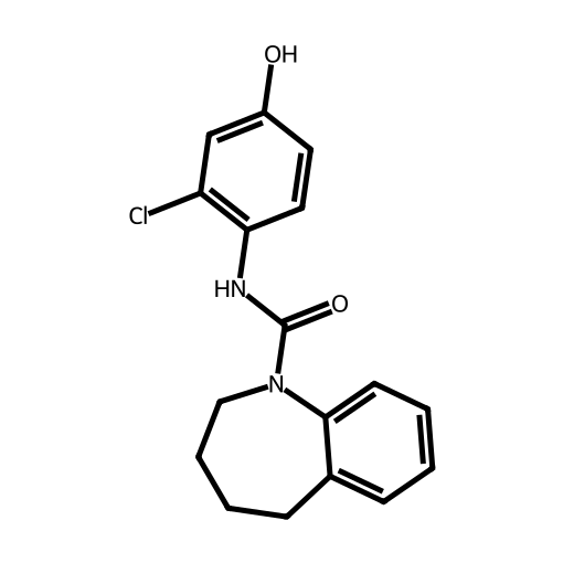 O=C(Nc1ccc(O)cc1Cl)N1CCCCc2ccccc21